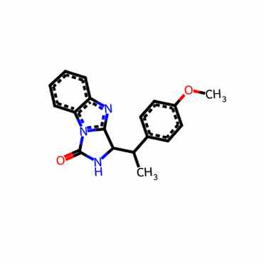 COc1ccc(C(C)C2NC(=O)n3c2nc2ccccc23)cc1